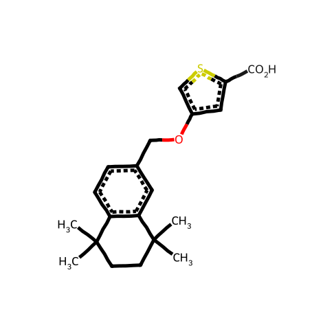 CC1(C)CCC(C)(C)c2cc(COc3csc(C(=O)O)c3)ccc21